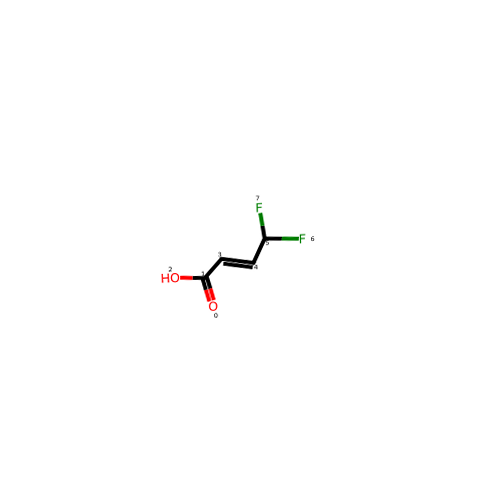 O=C(O)/C=C/C(F)F